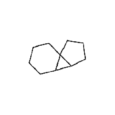 C1CCC23CCCC2C3C1